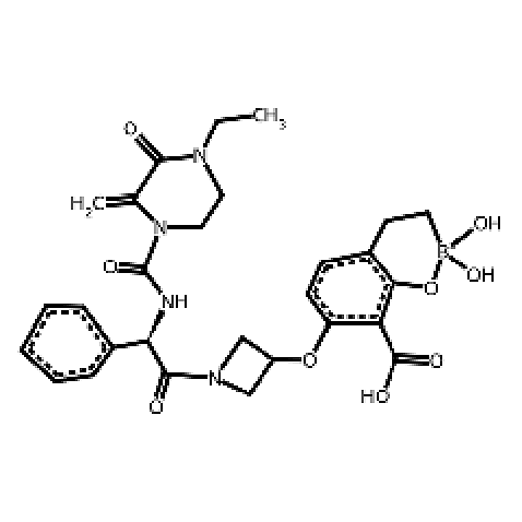 C=C1C(=O)N(CC)CCN1C(=O)N[C@@H](C(=O)N1CC(Oc2ccc3c(c2C(=O)O)O[B-](O)(O)CC3)C1)c1ccccc1